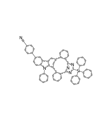 N#Cc1ccc(-c2ccc3c(c2)c2cc4cc(c5ccccc5c5nc([Si](c6ccccc6)(c6ccccc6)c6ccccc6)nc(n5)c5ccccc45)c2n3-c2ccccc2)cc1